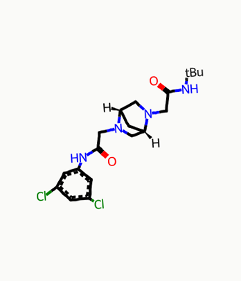 CC(C)(C)NC(=O)CN1C[C@@H]2C[C@H]1CN2CC(=O)Nc1cc(Cl)cc(Cl)c1